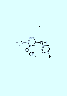 Nc1ccc(Nc2ccc(F)cc2)cc1OC(F)(F)F